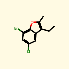 CCc1c(C)oc2c(Br)cc(Cl)cc12